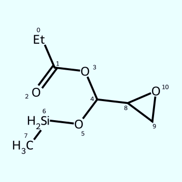 CCC(=O)OC(O[SiH2]C)C1CO1